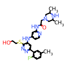 Cc1ccc(F)c(-c2cc(Nc3ccnc(NC(=O)CN4CC(C)NC(C)C4)c3)c(SCCO)nn2)c1